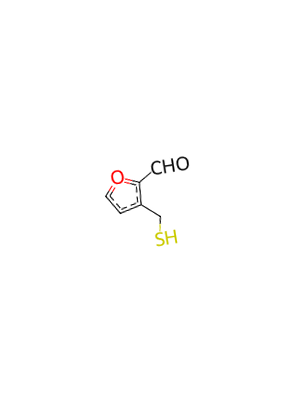 O=Cc1occc1CS